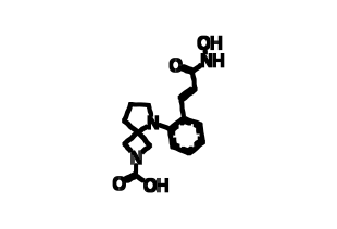 O=C(C=Cc1ccccc1N1CCCC12CN(C(=O)O)C2)NO